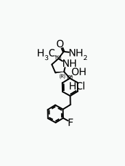 C[C@@]1(C(N)=O)CC[C@H]([C@]2(O)C=CC(Cc3ccccc3F)=CC2)N1.Cl